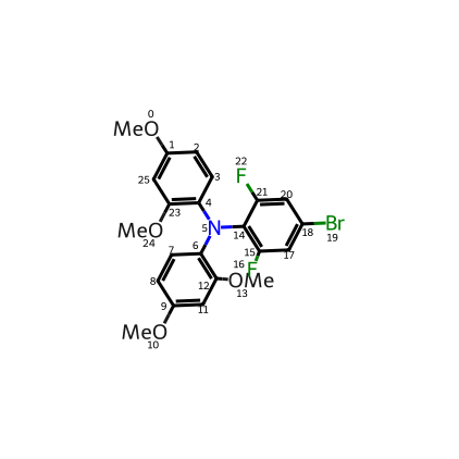 COc1ccc(N(c2ccc(OC)cc2OC)c2c(F)cc(Br)cc2F)c(OC)c1